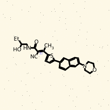 CCC(O)CNC(=O)/C(C#N)=C(\C)c1ccc(-c2ccc3cc(N4CCOCC4)ccc3c2)s1